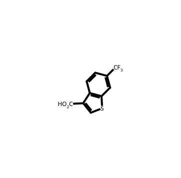 O=C(O)c1csc2cc(C(F)(F)F)ccc12